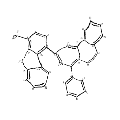 Brc1ccc(-c2nc(-c3ccccc3)c3ccc4ccccc4c3n2)c2c1sc1ccccc12